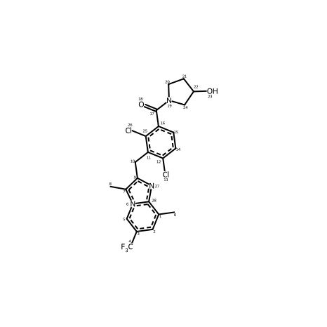 Cc1cc(C(F)(F)F)cn2c(C)c(Cc3c(Cl)ccc(C(=O)N4CCC(O)C4)c3Cl)nc12